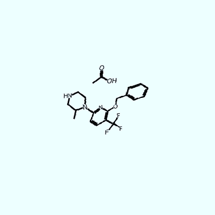 CC(=O)O.CC1CNCCN1c1ccc(C(F)(F)F)c(OCc2ccccc2)n1